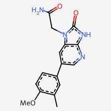 COc1ccc(-c2cnc3[nH]c(=O)n(CC(N)=O)c3c2)cc1C